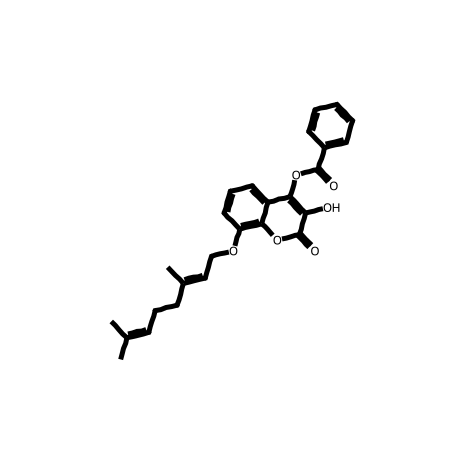 CC(C)=CCC/C(C)=C/COc1cccc2c(OC(=O)c3ccccc3)c(O)c(=O)oc12